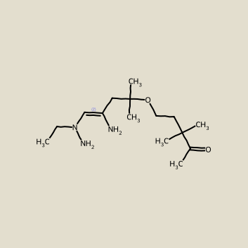 CCN(N)/C=C(\N)CC(C)(C)OCCC(C)(C)C(C)=O